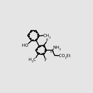 CCOC(=O)C[C@H](N)c1c(F)c(C)cc(-c2c(C)cccc2O)c1F